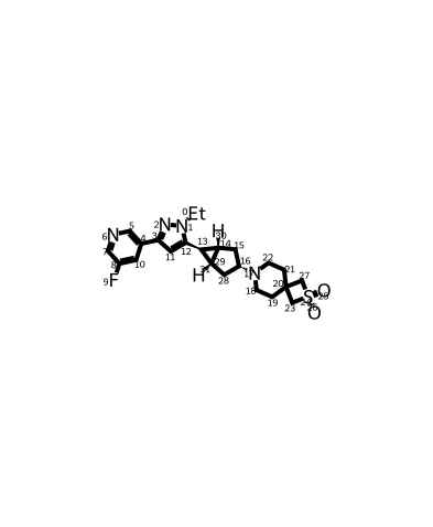 CCn1nc(-c2cncc(F)c2)cc1[C@H]1[C@@H]2C[C@H](N3CCC4(CC3)CS(=O)(=O)C4)C[C@@H]21